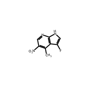 Cc1c([N+](=O)[O-])cnc2[nH]cc(F)c12